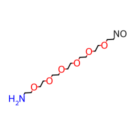 NCCOCCOCCOCCOCCOCCOCCN=O